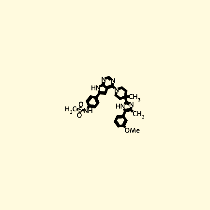 COc1cccc(-c2[nH]c(C3(C)CCN(c4ncnc5[nH]c(-c6ccc(NS(C)(=O)=O)cc6)cc45)CC3)nc2C)c1